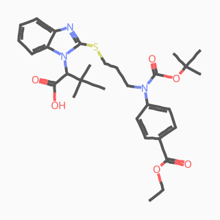 CCOC(=O)c1ccc(N(CCCSc2nc3ccccc3n2C(C(=O)O)C(C)(C)C)C(=O)OC(C)(C)C)cc1